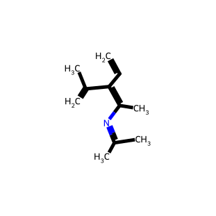 C=C/C(C(=C)C)=C(\C)N=C(C)C